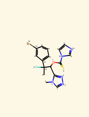 Cn1cnnc1C(OC(=S)n1ccnc1)C(C)(F)c1cccc(Br)c1